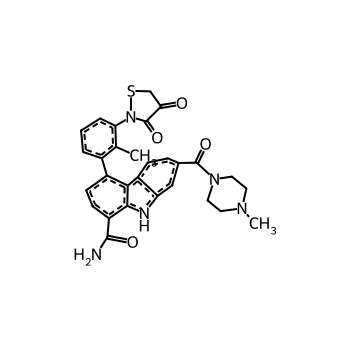 Cc1c(-c2ccc(C(N)=O)c3[nH]c4cc(C(=O)N5CCN(C)CC5)ccc4c23)cccc1N1SCC(=O)C1=O